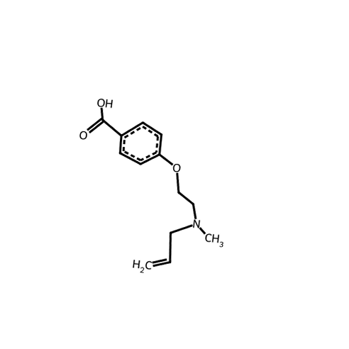 C=CCN(C)CCOc1ccc(C(=O)O)cc1